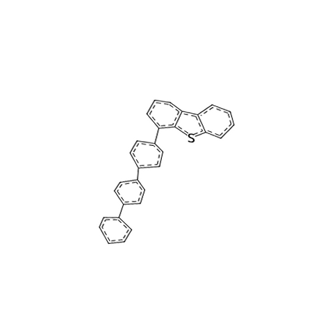 c1ccc(-c2ccc(-c3ccc(-c4cccc5c4sc4ccccc45)cc3)cc2)cc1